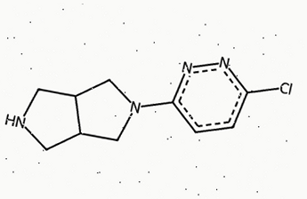 Clc1ccc(N2CC3CNCC3C2)nn1